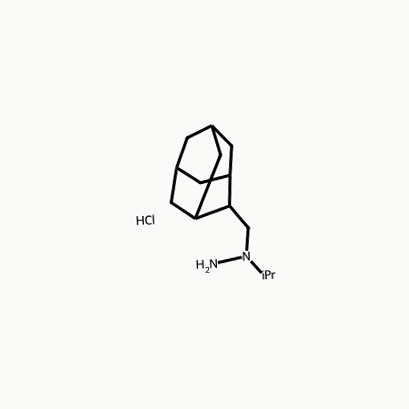 CC(C)N(N)CC1C2CC3CC(C2)CC1C3.Cl